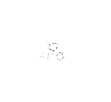 CC(C)c1ccc(C(O)(c2cncc(Br)c2)C2(C)CN(C)C2)cc1